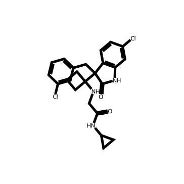 O=C(CNC1(C2(Cc3cccc(Cl)c3)C(=O)Nc3cc(Cl)ccc32)CCC1)NC1CC1